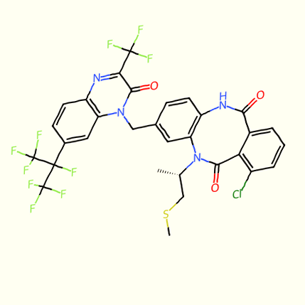 CSC[C@H](C)N1C(=O)c2c(Cl)cccc2C(=O)Nc2ccc(Cn3c(=O)c(C(F)(F)F)nc4ccc(C(F)(C(F)(F)F)C(F)(F)F)cc43)cc21